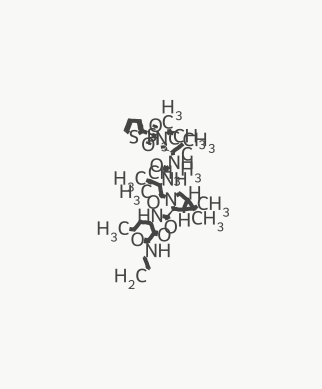 C=CCNC(=O)C(=O)C(CCC)NC(=O)[C@@H]1[C@@H]2[C@H](CN1C(=O)[C@@H](NC(=O)N[C@H](CN(C(C)C)S(=O)(=O)c1cccs1)C(C)(C)C)C(C)(C)C)C2(C)C